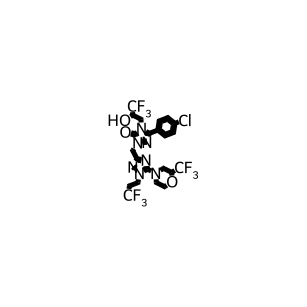 O=c1n(Cc2nc(N3CCOC(C(F)(F)F)C3)n(CCC(F)(F)F)n2)nc(-c2ccc(Cl)cc2)n1CC(O)C(F)(F)F